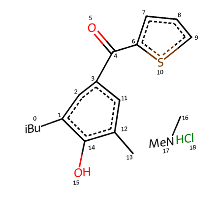 CCC(C)c1cc(C(=O)c2cccs2)cc(C)c1O.CNC.Cl